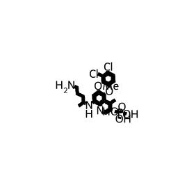 COc1cc(NC(C)CCCN)c2nccc(C)c2c1Oc1ccc(Cl)c(Cl)c1.O=P(O)(O)O